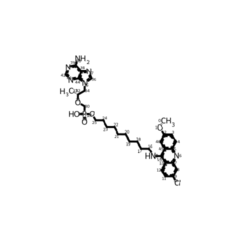 COc1ccc2nc3cc(Cl)ccc3c(NCCCCCCCCCCOP(=O)(O)CO[C@H](C)Cn3cnc4c(N)ncnc43)c2c1